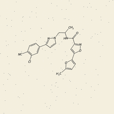 Cc1ccc(-c2cc(C(=O)NC(C)Cn3ccc(-c4ccc(C#N)c(Cl)c4)n3)no2)o1